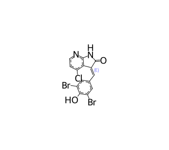 O=C1Nc2nccc(Cl)c2/C1=C\c1cc(Br)c(O)c(Br)c1